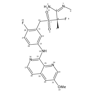 C/N=C(/N)[C@](C)(F)S(=O)(=O)Cc1cc(Nc2nccc3cc(OC)cnc23)ccc1F